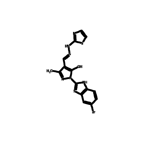 Cc1nn(-c2nc3cc(Br)ccc3[nH]2)c(O)c1C=NNc1nccs1